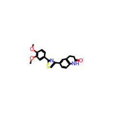 COc1ccc(-c2nc(-c3ccc4c(c3)CCC(=O)N4)cs2)cc1OC